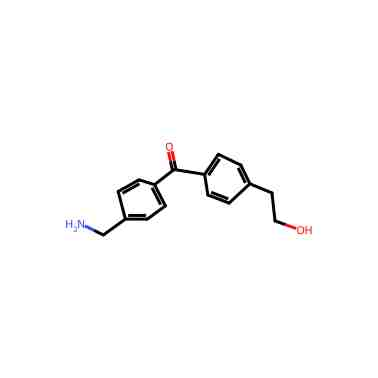 NCc1ccc(C(=O)c2ccc(CCO)cc2)cc1